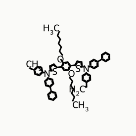 C=Cc1ccc(N(c2ccc(-c3ccccc3)cc2)c2ccc(-c3cc(OCCCCCCCC)c(-c4ccc(N(c5ccc(C=C)cc5)c5ccc(-c6ccccc6)cc5)s4)cc3OCCCCCCCC)s2)cc1